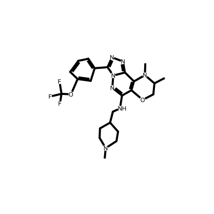 CC1COc2c(NCC3CCN(C)CC3)nn3c(-c4cccc(OC(F)(F)F)c4)nnc3c2N1C